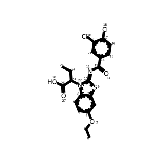 CCOc1ccc2c(c1)s/c(=N\C(=O)c1ccc(Cl)c(Cl)c1)n2C(CC)C(=O)O